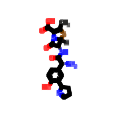 CC1=C(C(=O)O)N2C(=O)[C@@H](NC(=O)[C@H](N)c3ccc(O)c(C4CCC=N4)c3)[C@H]2S1